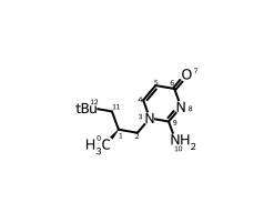 C[C@H](Cn1ccc(=O)nc1N)CC(C)(C)C